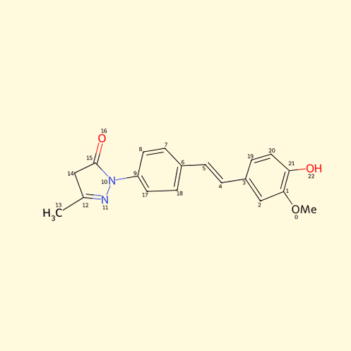 COc1cc(/C=C/c2ccc(N3N=C(C)CC3=O)cc2)ccc1O